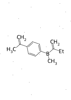 C=C(CC)B(C)c1ccc(C(=C)C)cc1